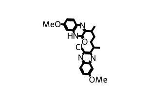 COc1ccc2nc(Cl)c(C(C)CCC(C)c3nc4ccc(OC)cc4[nH]c3=O)nc2c1